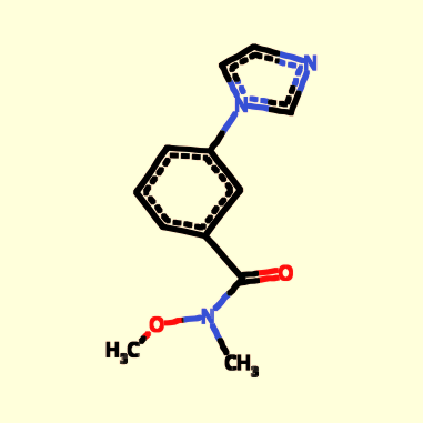 CON(C)C(=O)c1cccc(-n2ccnc2)c1